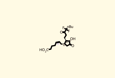 CCCCC(F)(F)C(=O)CC[C@@H]1[C@H](C/C=C\CCCC(=O)O)CC(=O)[C@@H]1O